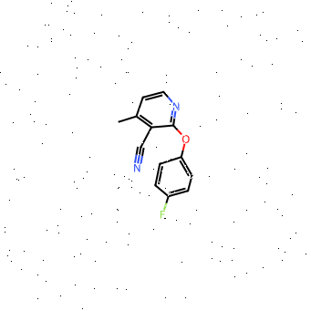 Cc1ccnc(Oc2ccc(F)cc2)c1C#N